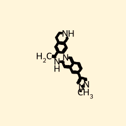 C=C(Nc1cc2cc(-c3cnn(C)c3)ccc2cn1)c1ccc2c(c1)CCNC2